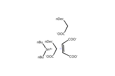 CCCCCCCCCCCC(=O)[O-].CCCCCCCCCCCC(=O)[O-].CCC[CH2][Sn+4][CH2]CCC.O=C([O-])/C=C\C(=O)[O-]